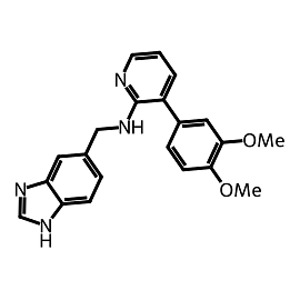 COc1ccc(-c2cccnc2NCc2ccc3[nH]cnc3c2)cc1OC